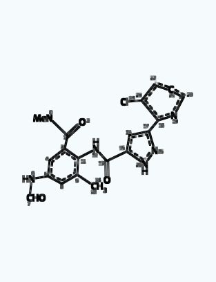 CNC(=O)c1cc(NC=O)cc(C)c1NC(=O)c1cc(-c2ncccc2Cl)n[nH]1